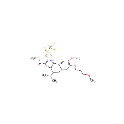 COCCCOc1cc2c(cc1OC)-c1nc(OS(=O)(=O)C(F)(F)F)c(C(=O)OC)cc1C(C(C)C)C2